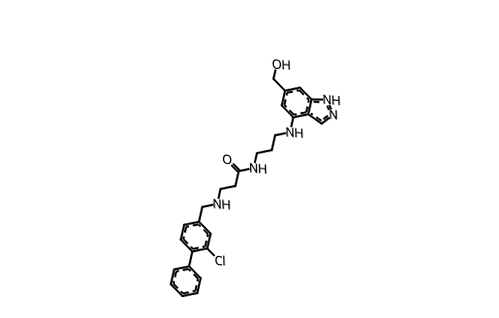 O=C(CCNCc1ccc(-c2ccccc2)c(Cl)c1)NCCCNc1cc(CO)cc2[nH]ncc12